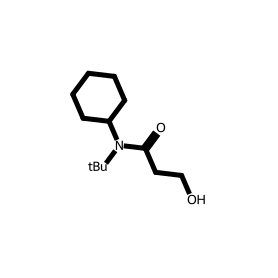 CC(C)(C)N(C(=O)CCO)C1CCCCC1